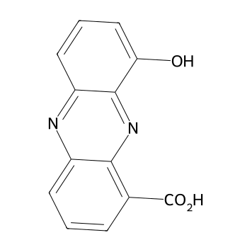 O=C(O)c1cccc2nc3cccc(O)c3nc12